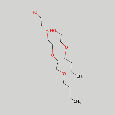 CCCCOCCO.CCCCOCCOCCOCCO